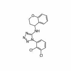 Clc1cccc(-n2nnnc2NC2CCOc3ccccc32)c1Cl